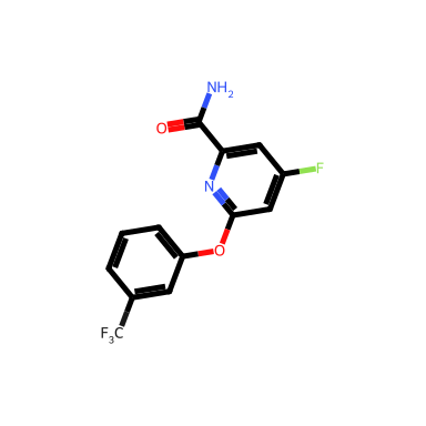 NC(=O)c1cc(F)cc(Oc2cccc(C(F)(F)F)c2)n1